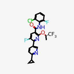 C[C@H](Oc1nc(-c2ccc(C3CC3)nc2)c(F)cc1C(=O)Nc1c(F)cccc1Cl)C(F)(F)F